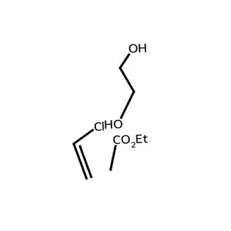 C=CCl.CCOC(C)=O.OCCO